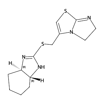 C1=C(CSC2=N[C@@H]3CCCC[C@H]3N2)N2CCN=C2S1